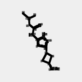 CC(=O)N[C@H]1C[C@@H](c2cc(NC(=O)CN(C)C)[nH]n2)C1